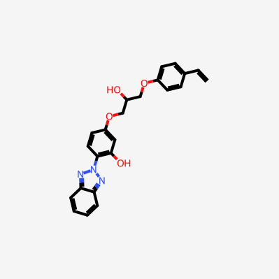 C=Cc1ccc(OCC(O)COc2ccc(-n3nc4ccccc4n3)c(O)c2)cc1